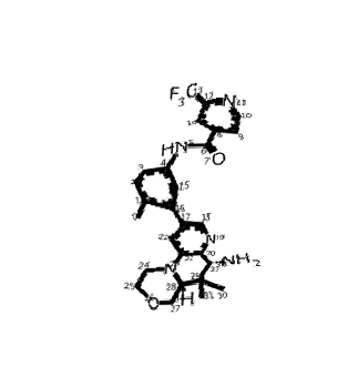 Cc1ccc(NC(=O)c2ccnc(C(F)(F)F)c2)cc1-c1cnc2c(c1)N1CCOC[C@H]1C(C)(C)[C@H]2N